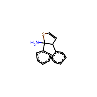 NC1(c2ccccc2)SC=CC1c1ccccc1